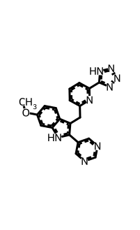 COc1ccc2c(Cc3cccc(-c4nnn[nH]4)n3)c(-c3cncnc3)[nH]c2c1